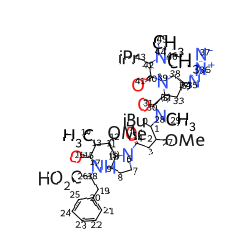 CCC(C)C(C(CC(=O)N1CCC[C@H]1C(OC)C(C)C(=O)NC(Cc1ccccc1)C(=O)O)OC)N(C)C(=O)[C@@H]1C[C@H](N=[N+]=[N-])CN1C(=O)C(C(C)C)N(C)C